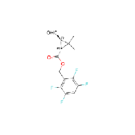 CC1(C)[C@H](C=O)[C@H]1C(=O)OCc1c(F)c(F)cc(F)c1F